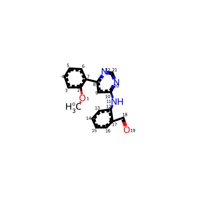 COc1ccccc1-c1cc(Nc2ccccc2C=O)ncn1